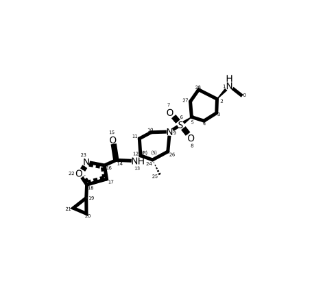 CN[C@H]1CC[C@@H](S(=O)(=O)N2CC[C@@H](NC(=O)c3cc(C4CC4)on3)[C@@H](C)C2)CC1